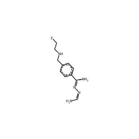 N/C=N\N=C(/N)c1ccc(CNCCF)cc1